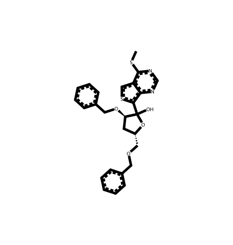 CSc1ncnc2c(C3(O)O[C@H](COCc4ccccc4)C[C@H]3OCc3ccccc3)scc12